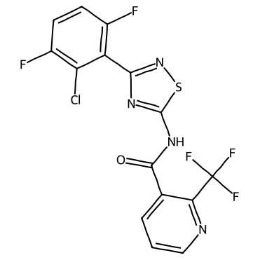 O=C(Nc1nc(-c2c(F)ccc(F)c2Cl)ns1)c1cccnc1C(F)(F)F